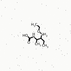 CCO[SiH2]C(CC)C(C)NC(=O)O